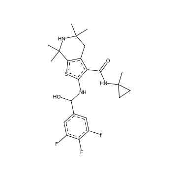 CC1(C)Cc2c(sc(NC(O)c3cc(F)c(F)c(F)c3)c2C(=O)NC2(C)CC2)C(C)(C)N1